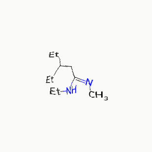 CCN/C(CC(CC)CC)=N\C